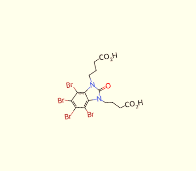 O=C(O)CCCn1c(=O)n(CCCC(=O)O)c2c(Br)c(Br)c(Br)c(Br)c21